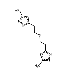 CCCCc1nnc(CCSCCc2nnc(C)s2)s1